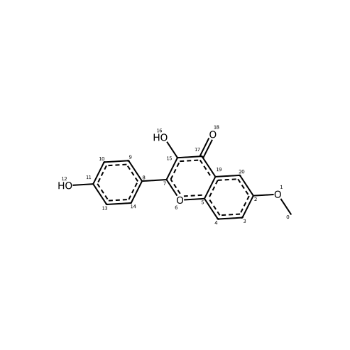 COc1ccc2oc(-c3ccc(O)cc3)c(O)c(=O)c2c1